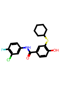 O=C(Nc1ccc(F)c(Cl)c1)c1ccc(O)c(SC2CCCCC2)c1